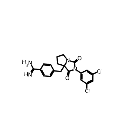 N=C(N)c1ccc(CC23CCCN2C(=O)N(c2cc(Cl)cc(Cl)c2)C3=O)cc1